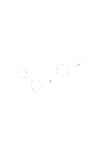 COc1ncc(-c2c(C)noc2C)cc1NCc1ccc(C#N)cc1F